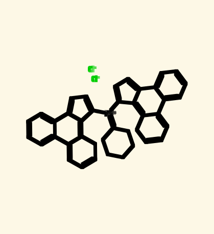 C1=CCc2c3c(c4ccccc4c2=C1)=CC=[C]3[Zr+2]([C]1=CC=c2c1c1c(c3ccccc23)=CC=CC1)=[C]1CCCCC1.[Cl-].[Cl-]